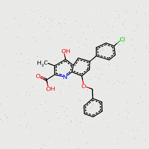 Cc1c(C(=O)O)nc2c(OCc3ccccc3)cc(-c3ccc(Cl)cc3)cc2c1O